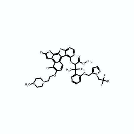 COC(=O)C(Oc1ncnc2sc3c4oc(F)cc4c4c(Cl)c(OCCN5CCN(C)CC5)ccc4c3c12)C(C)(C)c1ccccc1OCc1ccnn1CC(F)(F)F